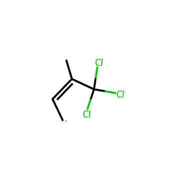 [CH2]C=C(C)C(Cl)(Cl)Cl